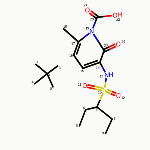 CC(C)(C)C.CCC(CC)S(=O)(=O)Nc1ccc(C)n(C(=O)O)c1=O